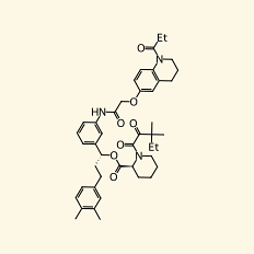 CCC(=O)N1CCCc2cc(OCC(=O)Nc3cccc([C@@H](CCc4ccc(C)c(C)c4)OC(=O)[C@@H]4CCCCN4C(=O)C(=O)C(C)(C)CC)c3)ccc21